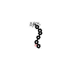 C[Si](C)(C)c1ccc(-c2ccc3ccc(-c4ccc(-c5ccc6oc7ccccc7c6c5)cc4)cc3c2)cc1